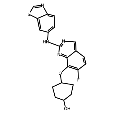 OC1CCC(Oc2c(F)ccc3cnc(Nc4ccc5ncsc5c4)nc23)CC1